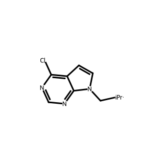 C[C](C)Cn1ccc2c(Cl)ncnc21